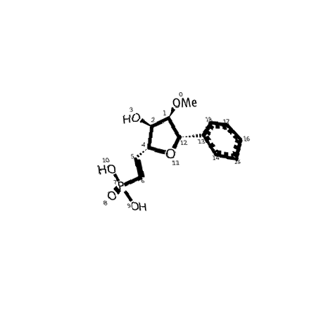 CO[C@@H]1[C@H](O)[C@@H](/C=C/P(=O)(O)O)O[C@H]1c1ccccc1